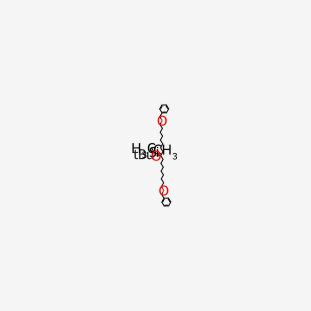 CC(C)(C)[Si](C)(C)OC(CCCCCCCCOCc1ccccc1)CCCCCCCCOCc1ccccc1